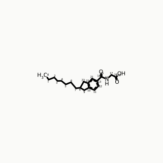 CCCCCCCCC1Cc2ccc(C(=O)NCC(=O)O)cc2C1